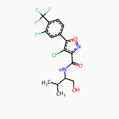 CC(C)C(CO)NC(=O)c1noc(-c2ccc(C(F)(F)F)c(F)c2)c1Cl